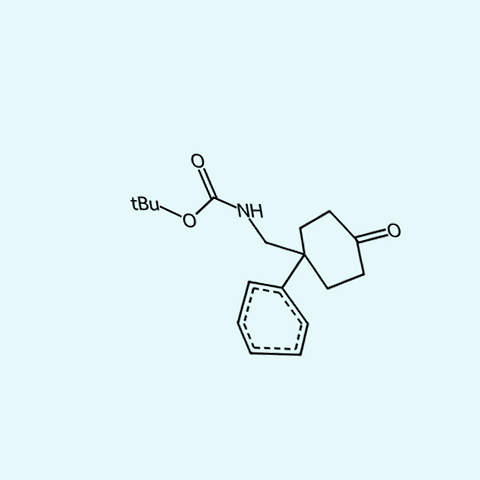 CC(C)(C)OC(=O)NCC1(c2ccccc2)CCC(=O)CC1